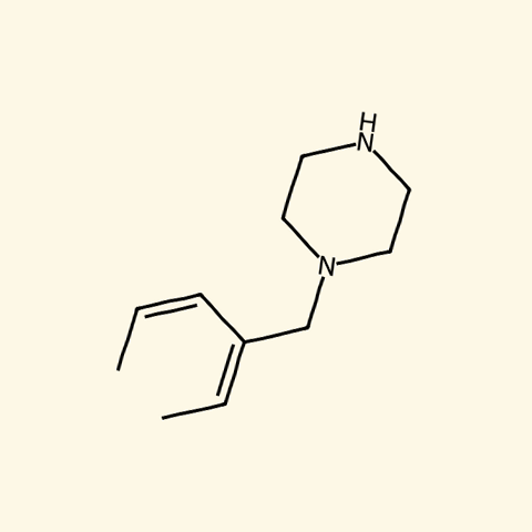 C/C=C\C(=C/C)CN1CCNCC1